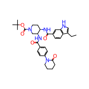 CCc1c[nH]c2cc(C(=O)N[C@@H]3CCN(C(=O)OC(C)(C)C)C[C@@H]3NC(=O)c3ccc(N4CCCCC4=O)cc3)ccc12